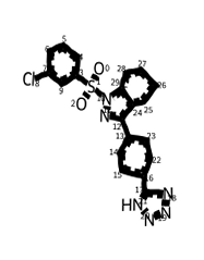 O=S(=O)(c1cccc(Cl)c1)n1nc(-c2ccc(-c3nnn[nH]3)cc2)c2ccccc21